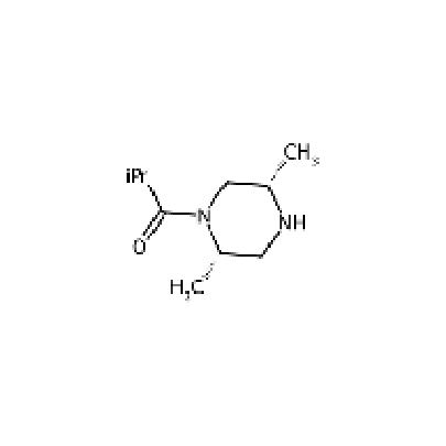 CC(C)C(=O)N1C[C@H](C)NC[C@@H]1C